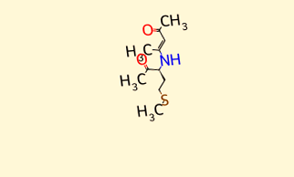 CSCC[C@H](N/C(C)=C/C(C)=O)C(C)=O